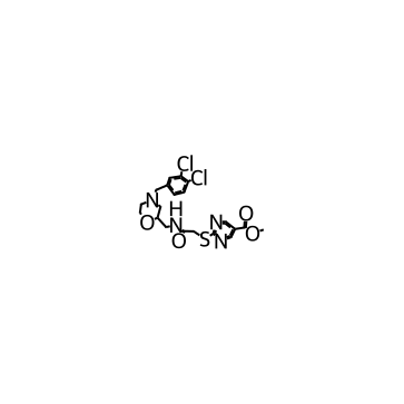 COC(=O)c1cnc(SCC(=O)NCC2CN(Cc3ccc(Cl)c(Cl)c3)CCO2)nc1